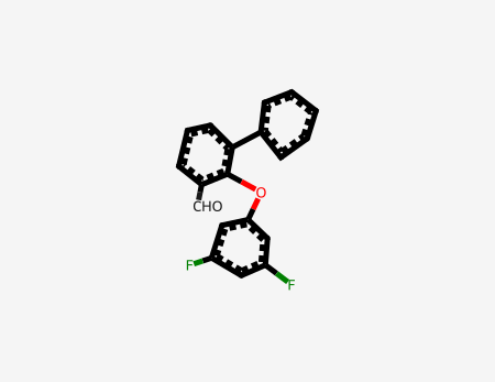 O=Cc1cccc(-c2ccccc2)c1Oc1cc(F)cc(F)c1